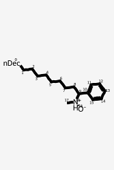 CCCCCCCCCCCCCCCCCCC(c1ccccc1)[NH+](C)[O-]